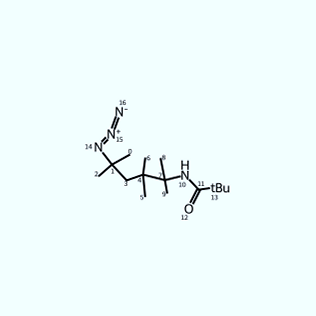 CC(C)(CC(C)(C)C(C)(C)NC(=O)C(C)(C)C)N=[N+]=[N-]